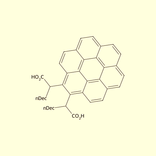 CCCCCCCCCCC(C(=O)O)c1c(C(CCCCCCCCCC)C(=O)O)c2ccc3ccc4ccc5ccc6ccc1c1c6c5c4c3c21